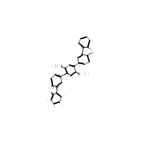 Oc1cc(-c2ccc3sc4ccccc4c3c2)c(O)cc1-c1ccc2sc3ccccc3c2c1